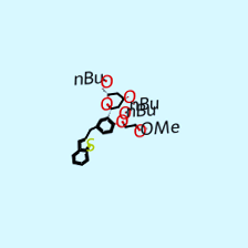 CCCCOC[C@@H]1C[C@H](OCCCC)[C@@H](OCCCC)[C@H](c2cc(Cc3cc4ccccc4s3)ccc2OCCOOC)O1